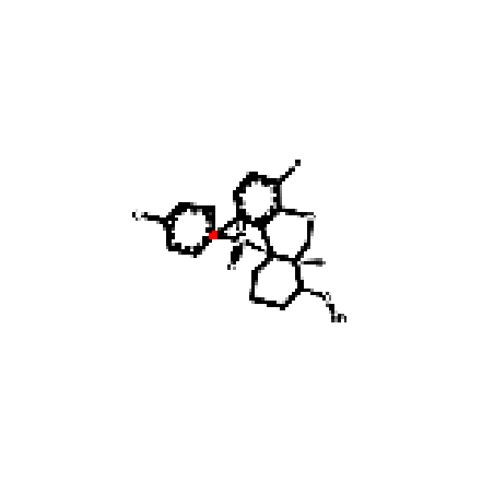 CCCO[C@H]1CCC[C@]2(S(=O)(=O)c3ccc(Cl)cc3)c3c(F)ccc(F)c3OC[C@H]12